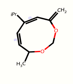 C=C1/C=C(C(C)C)\C=C/C(C)OCO1